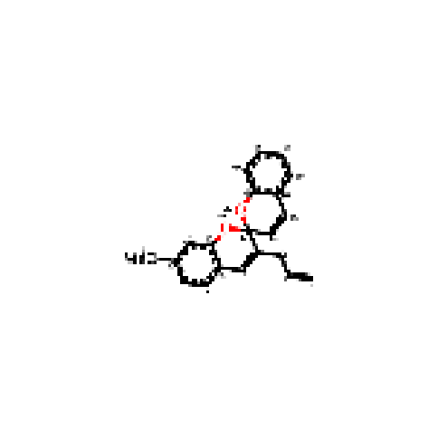 C=CCC1=Cc2ccc(OC)cc2OC12C=Cc1ccccc1O2